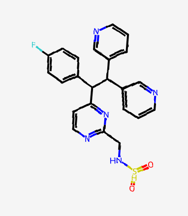 O=[SH](=O)NCc1nccc(C(c2ccc(F)cc2)C(c2cccnc2)c2cccnc2)n1